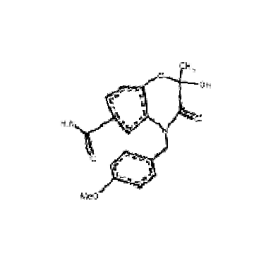 COc1ccc(CN2C(=O)C(C)(O)Oc3ccc(C(N)=O)cc32)cc1